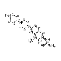 CN(C)c1nc(N2CCN(c3ccc(F)cc3)CC2)ncc1C=NNC(N)=S